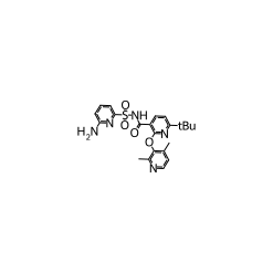 Cc1ccnc(C)c1Oc1nc(C(C)(C)C)ccc1C(=O)NS(=O)(=O)c1cccc(N)n1